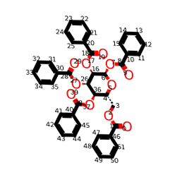 O=C(OC[C@H]1O[C@H](OC(=O)c2ccccc2)[C@@H](OC(=O)c2ccccc2)[C@@H](OC(=O)c2ccccc2)[C@@H]1OC(=O)c1ccccc1)c1ccccc1